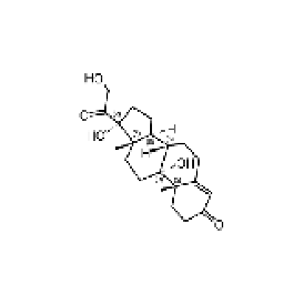 C[C@]12CCC(=O)C=C1CC[C@H]1[C@@H]3CC[C@](O)(C(=O)CO)[C@@]3(C)CC[C@@]12O